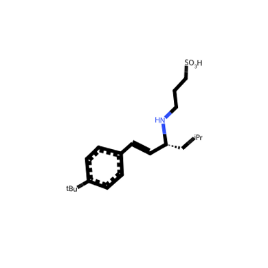 CC(C)C[C@H](/C=C/c1ccc(C(C)(C)C)cc1)NCCCS(=O)(=O)O